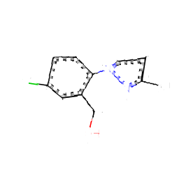 Cc1ccn(-c2ccc(Cl)cc2CO)n1